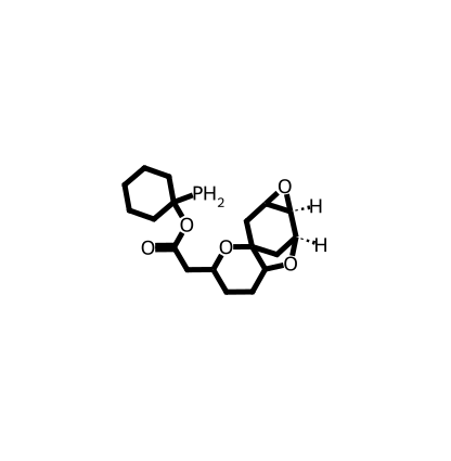 O=C(CC1CCC2O[C@H]3CC2(CC2O[C@H]23)O1)OC1(P)CCCCC1